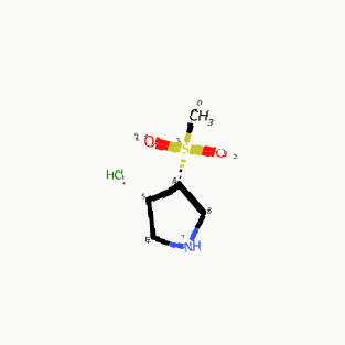 CS(=O)(=O)[C@H]1CCNC1.Cl